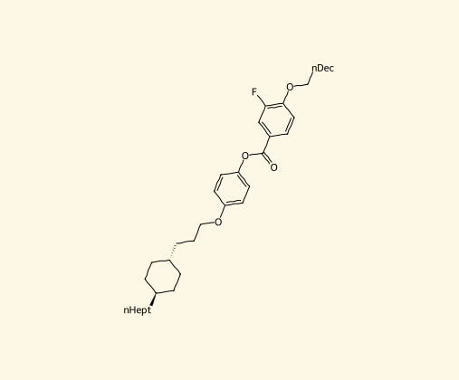 CCCCCCCCCCCOc1ccc(C(=O)Oc2ccc(OCCC[C@H]3CC[C@H](CCCCCCC)CC3)cc2)cc1F